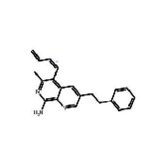 C=C/C=C\c1c(C)nc(N)c2ncc(CCc3ccccc3)cc12